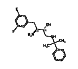 CC(C)(NC[C@@H](O)[C@@H](N)Cc1cc(F)cc(F)c1)c1ccccc1